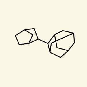 C1CC2C[C]1C(C1C3CC4CC(C3)CC1C4)C2